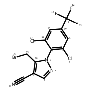 N#Cc1cnn(-c2c(Cl)cc(C(F)(F)F)cc2Cl)c1CBr